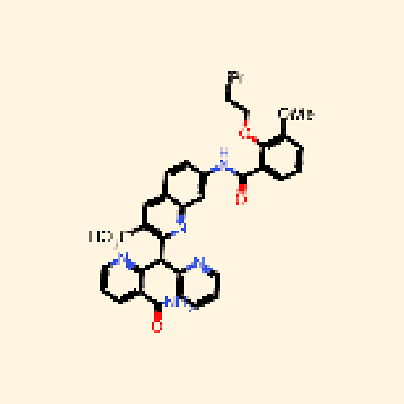 COc1cccc(C(=O)Nc2ccc3cc(C(=O)O)c(C(c4ccccn4)c4ncccc4C(N)=O)nc3c2)c1OCCC(C)C